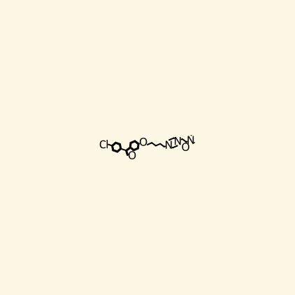 CN(C)C(=O)CN1CCN(CCCCCOc2ccc3c(-c4ccc(Cl)cc4)coc3c2)CC1